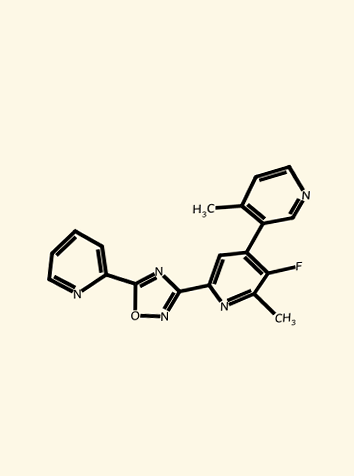 Cc1ccncc1-c1cc(-c2noc(-c3ccccn3)n2)nc(C)c1F